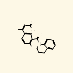 Cc1cc(=O)oc2c(C(=O)N3CCCc4ccccc43)c(O)ccc12